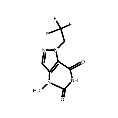 Cn1c(=O)[nH]c(=O)c2c1cnn2CC(F)(F)F